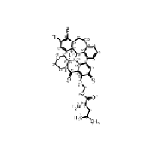 CC(C)C[C@H](N)C(=O)OCOc1c2n(ccc1=O)N([C@@H]1c3ccccc3SCc3c1ccc(F)c3F)[C@@H]1COCCN1C2=O